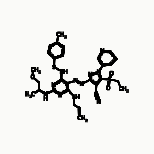 C=CCNc1nc(NC(C)COC)nc(NSc2ccc(C)cc2)c1N=Nc1nn(-c2cccnc2)c(S(=O)(=O)CC)c1C#N